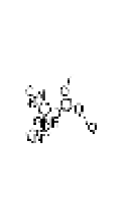 CCCOc1cc(OCCCOC)cc(Oc2cc3c(cc2NS(=O)(=O)c2ccccn2)n(C)c(=O)n3C)c1